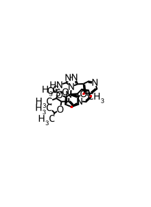 COc1cccc(OC)c1-n1c(NS(=O)(=O)C(C)C(OC(C)C)c2cn3ccccc3n2)nnc1-c1cccnc1